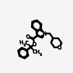 CC(C)(OC(=O)c1cn(CC2CCOCC2)c2ccccc12)c1ccccc1